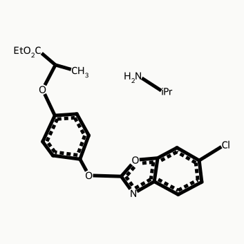 CC(C)N.CCOC(=O)C(C)Oc1ccc(Oc2nc3ccc(Cl)cc3o2)cc1